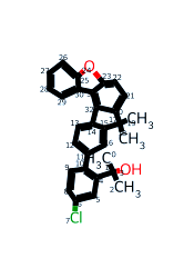 CC(C)(O)c1cc(Cl)ccc1-c1ccc2c(c1)C(C)(C)c1ccc3oc4ccccc4c3c1-2